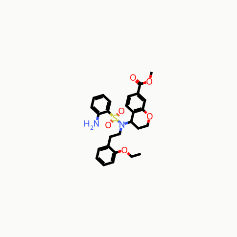 CCOc1ccccc1CCN(C1CCOc2cc(C(=O)OC)ccc21)S(=O)(=O)c1ccccc1N